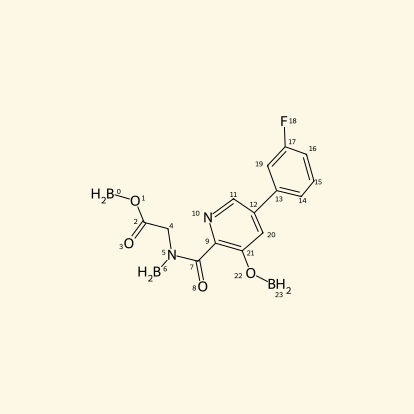 BOC(=O)CN(B)C(=O)c1ncc(-c2cccc(F)c2)cc1OB